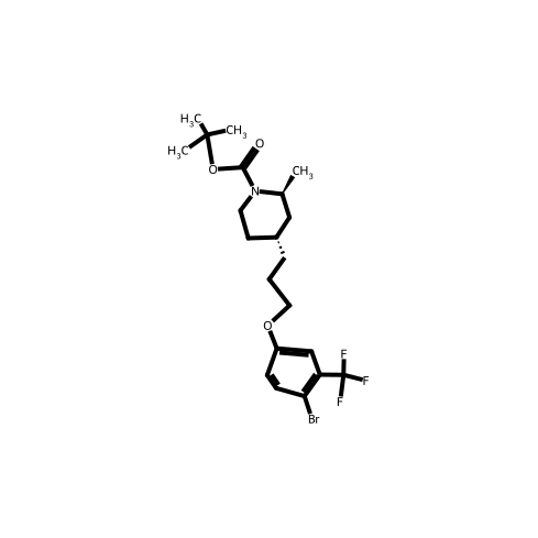 C[C@H]1C[C@H](CCCOc2ccc(Br)c(C(F)(F)F)c2)CCN1C(=O)OC(C)(C)C